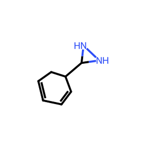 C1=CCC(C2NN2)C=C1